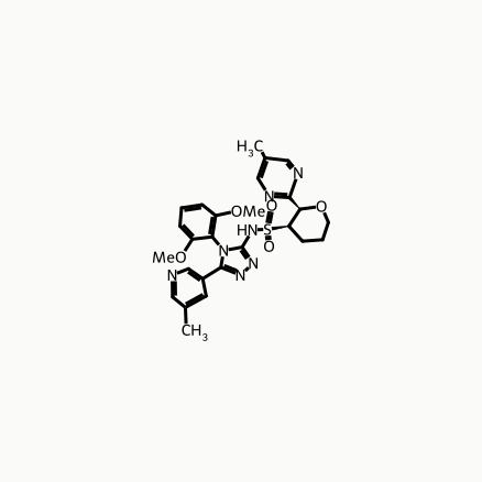 COc1cccc(OC)c1-n1c(NS(=O)(=O)[C@@H]2CCCO[C@@H]2c2ncc(C)cn2)nnc1-c1cncc(C)c1